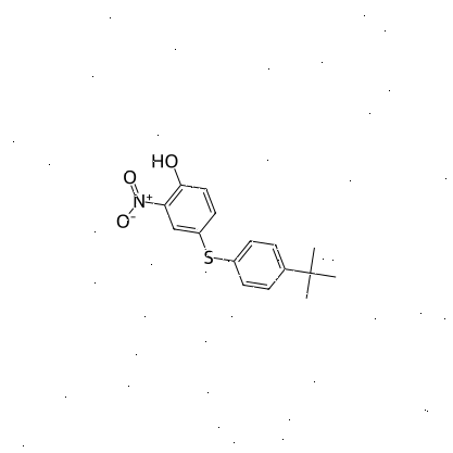 CC(C)(C)c1ccc(Sc2ccc(O)c([N+](=O)[O-])c2)cc1